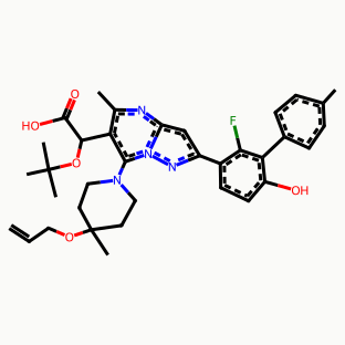 C=CCOC1(C)CCN(c2c(C(OC(C)(C)C)C(=O)O)c(C)nc3cc(-c4ccc(O)c(-c5ccc(C)cc5)c4F)nn23)CC1